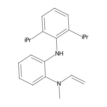 C=CN(C)c1ccccc1Nc1c(C(C)C)cccc1C(C)C